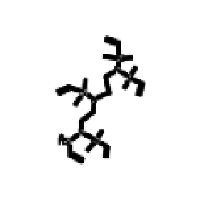 C=C[SiH](C)N(CCN(CCN([Si](C)(C)C=C)[Si](C)(C)C=C)[Si](C)(C)C=C)[Si](C)(C)C=C